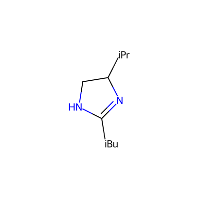 CCC(C)C1=NC(C(C)C)CN1